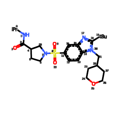 CC(C)NC(=O)C1CCN(S(=O)(=O)c2ccc3c(c2)nc(C(C)(C)C)n3CC2CCOCC2)C1